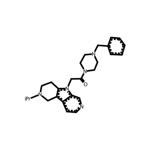 CC(C)N1CCc2c(c3ccncc3n2CC(=O)N2CCN(Cc3ccccc3)CC2)C1